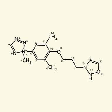 Cc1cc([N+]2(C)N=CN=N2)cc(C)c1OCCCN1C=CON1